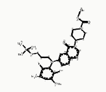 COc1cc(C)c(F)c(N(CCCO[Si](C)(C)C(C)(C)C)c2ccc3ncn(C4CCN(C(=O)OC(C)(C)C)CC4)c(=O)c3c2)c1F